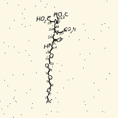 CC(=O)CCOCCOCCOCCOCCNC(=O)CN(CCN(CC(=O)O)CC(=O)O)CC(=O)O